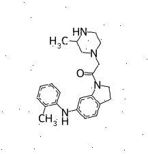 Cc1ccccc1Nc1ccc2c(c1)N(C(=O)CN1CCNC(C)C1)CC2